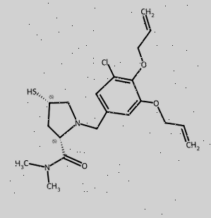 C=CCOc1cc(CN2C[C@@H](S)C[C@H]2C(=O)N(C)C)cc(Cl)c1OCC=C